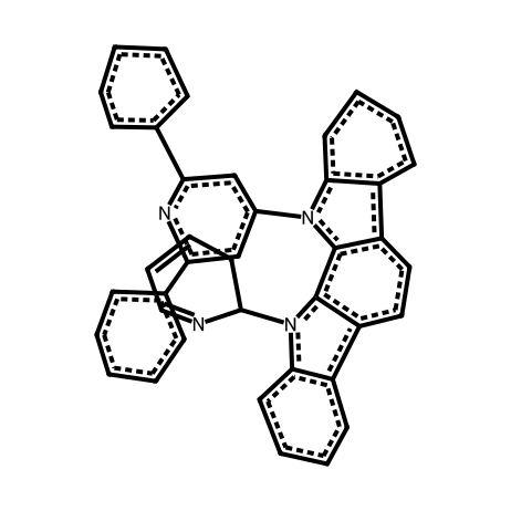 C1=CCC(n2c3ccccc3c3ccc4c5ccccc5n(-c5cc(-c6ccccc6)nc(-c6ccccc6)c5)c4c32)N=C1